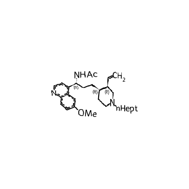 C=C[C@H]1CN(CCCCCCC)CC[C@H]1CC[C@@H](NC(C)=O)c1ccnc2ccc(OC)cc12